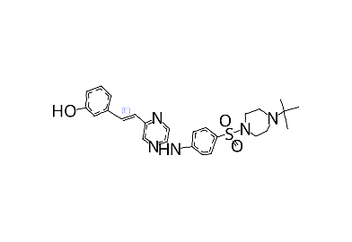 CC(C)(C)N1CCN(S(=O)(=O)c2ccc(Nc3cnc(/C=C/c4cccc(O)c4)cn3)cc2)CC1